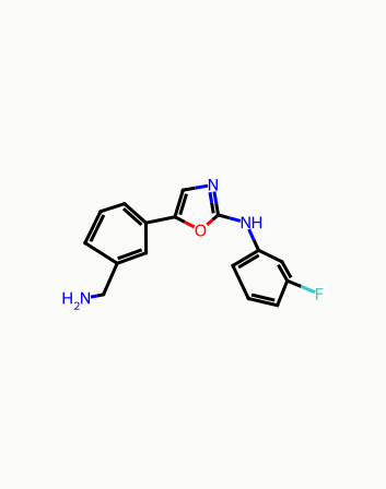 NCc1cccc(-c2cnc(Nc3cccc(F)c3)o2)c1